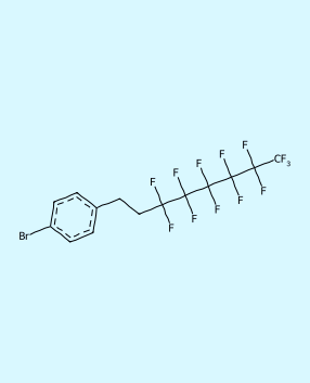 FC(F)(F)C(F)(F)C(F)(F)C(F)(F)C(F)(F)C(F)(F)CCc1ccc(Br)cc1